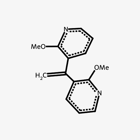 C=C(c1cccnc1OC)c1cccnc1OC